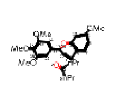 CCCC(=O)CCC.COc1ccc2c(c1)OC(c1cc(OC)c(OC)c(OC)c1)C=C2